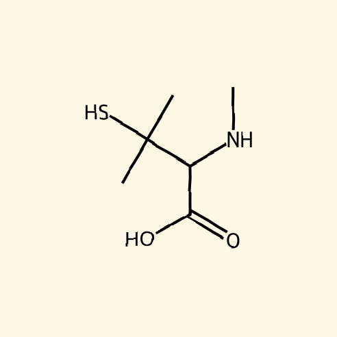 CNC(C(=O)O)C(C)(C)S